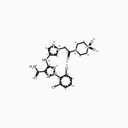 NC(=O)c1nn(-c2c(Cl)cccc2Cl)nc1Nc1cnn(CC(=O)N2CCS(=O)(=O)CC2)c1